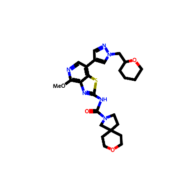 COc1ncc(-c2cnn(CC3CCCCO3)c2)c2sc(NC(=O)N3CCC4(CCOCC4)C3)nc12